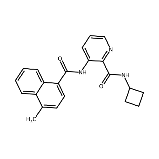 Cc1ccc(C(=O)Nc2cccnc2C(=O)NC2CCC2)c2ccccc12